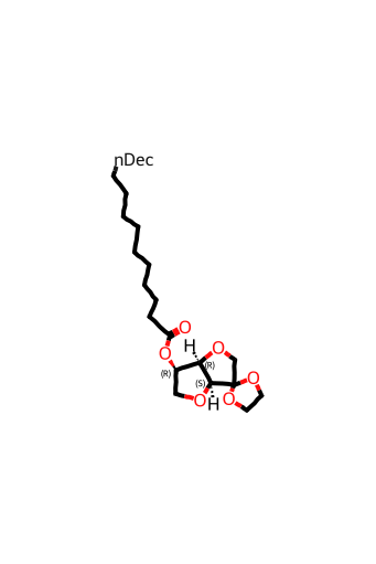 CCCCCCCCCCCCCCCCCCCC(=O)O[C@@H]1CO[C@H]2[C@@H]1OCC21OCCO1